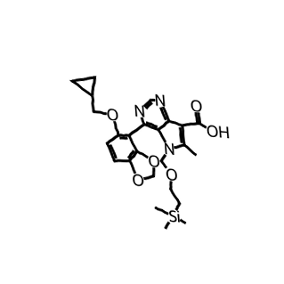 Cc1c(C(=O)O)c2ncnc(-c3c(OCC4CC4)ccc4c3OCO4)c2n1COCC[Si](C)(C)C